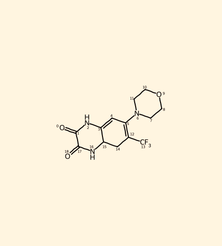 O=C1NC2=CC(N3CCOCC3)=C(C(F)(F)F)CC2NC1=O